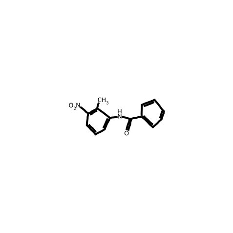 Cc1c(NC(=O)c2ccccc2)cccc1[N+](=O)[O-]